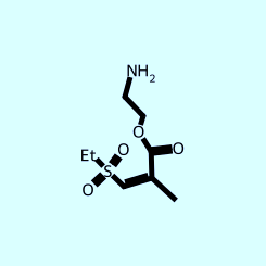 CCS(=O)(=O)C=C(C)C(=O)OCCN